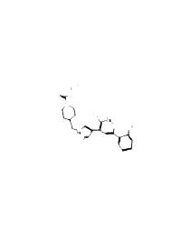 C[C@H](C1CCN(C(=O)OC(C)(C)C)CC1)n1cc(-c2cc(-c3ccccc3O)nnc2N)cn1